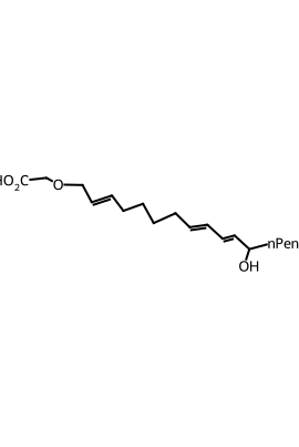 CCCCCC(O)C=CC=CCCCCC=CCOCC(=O)O